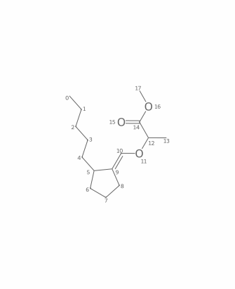 CCCCCC1CCCC1=COC(C)C(=O)OC